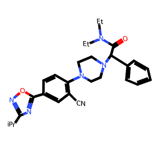 CCN(CC)C(=O)C(c1ccccc1)N1CCN(c2ccc(-c3nc(C(C)C)no3)cc2C#N)CC1